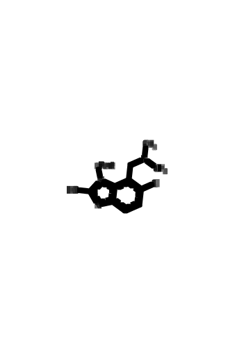 CCCCCn1c(O)nc2ccc(Cl)c(CN(C)C)c21